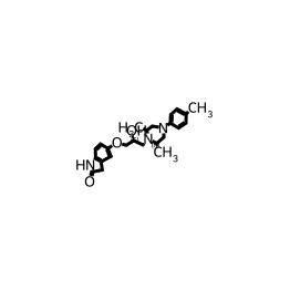 Cc1ccc(N2CC(C)N(C[C@H](O)COc3ccc4c(c3)CC(=O)N4)[C@H](C)C2)cc1